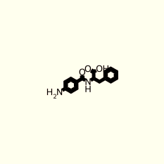 Nc1ccc(C(=O)NC(Cc2ccccc2)C(=O)O)cc1